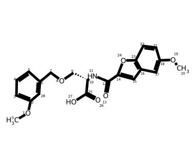 COc1cccc(COC[C@H](NC(=O)c2cc3cc(OC)ccc3o2)C(=O)O)c1